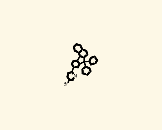 Brc1ccc(-c2ccc3c(c2)C(c2ccccc2)(c2ccccc2)c2ccc4ccccc4c2-3)nc1